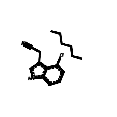 CCCCCC.N#CCc1c[nH]c2cccc(Cl)c12